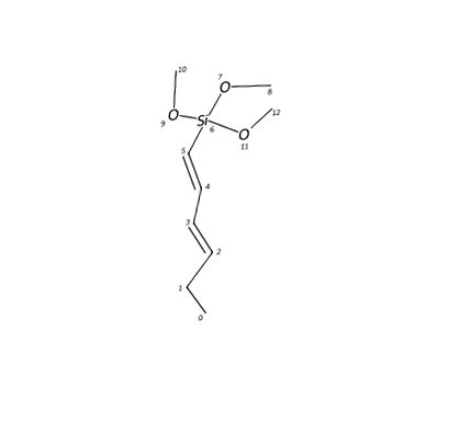 CCC=CC=C[Si](OC)(OC)OC